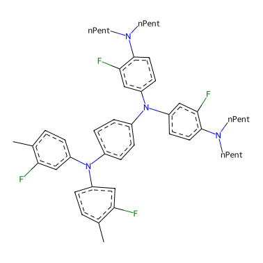 CCCCCN(CCCCC)c1ccc(N(c2ccc(N(c3ccc(C)c(F)c3)c3ccc(C)c(F)c3)cc2)c2ccc(N(CCCCC)CCCCC)c(F)c2)cc1F